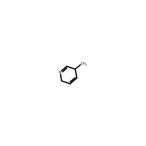 CC1C=CCN=C1